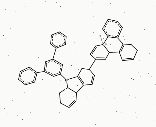 C1=CC2=C(CC1)c1ccccc1[C@@H]1C=CC(C3C=CC4=C(C3)N(c3cc(-c5ccccc5)cc(-c5ccccc5)c3)C3CCC=CC43)=CC21